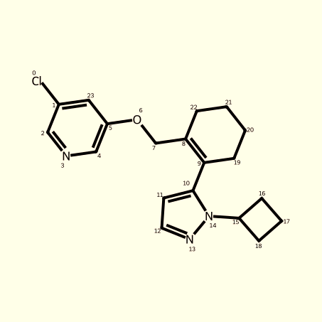 Clc1cncc(OCC2=C(c3ccnn3C3CCC3)CCCC2)c1